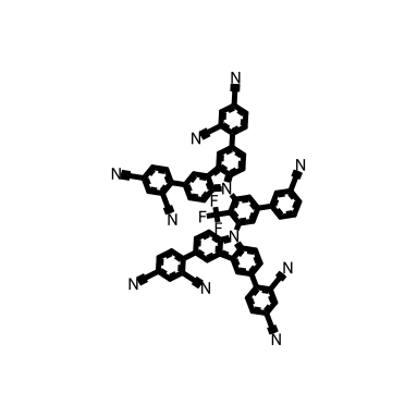 N#Cc1cccc(-c2cc(-n3c4ccc(-c5ccc(C#N)cc5C#N)cc4c4cc(-c5ccc(C#N)cc5C#N)ccc43)c(C(F)(F)F)c(-n3c4ccc(-c5ccc(C#N)cc5C#N)cc4c4cc(-c5ccc(C#N)cc5C#N)ccc43)c2)c1